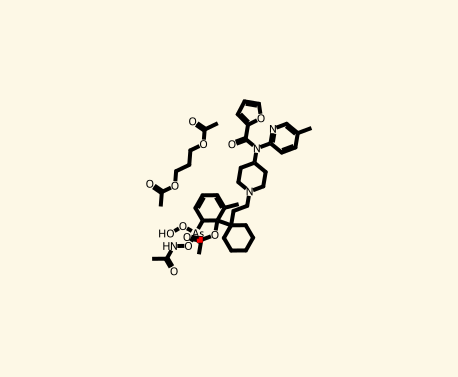 CC(=O)NO[As](=O)(OO)C1C=CC=C(C)C1(OC(C)=O)C1(CCN2CCC(N(C(=O)c3ccco3)c3ccc(C)cn3)CC2)CCCCC1.CC(=O)OCCCOC(C)=O